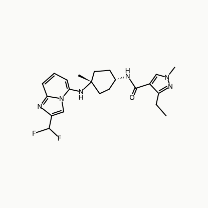 CCc1nn(C)cc1C(=O)N[C@H]1CC[C@@](C)(Nc2cccc3nc(C(F)F)cn23)CC1